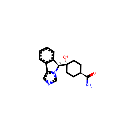 NC(=O)[C@H]1CC[C@@](O)([C@@H]2c3ccccc3-c3cncn32)CC1